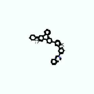 C=c1cccc/c1=C/C(=C\C)c1ccc2sc3ccc(-c4ccc5c(c4)c4ccccc4c4cc6c(cc54)oc4ccccc46)cc3c2c1